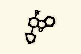 Brc1ccc(-c2ccccc2)c2oc3ccccc3c12